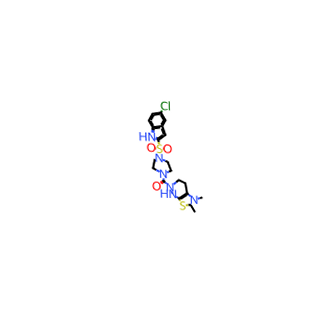 CC1SC2=C(CCN(C(=O)N3CCN(S(=O)(=O)c4cc5cc(Cl)ccc5[nH]4)CC3)N2)N1C